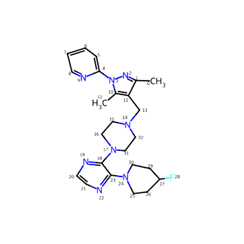 Cc1nn(-c2ccccn2)c(C)c1CN1CCN(c2nccnc2N2CCC(F)CC2)CC1